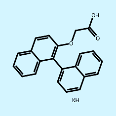 O=C(O)COc1ccc2ccccc2c1-c1cccc2ccccc12.[KH]